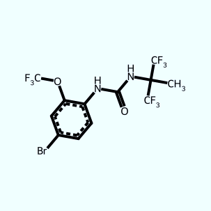 CC(NC(=O)Nc1ccc(Br)cc1OC(F)(F)F)(C(F)(F)F)C(F)(F)F